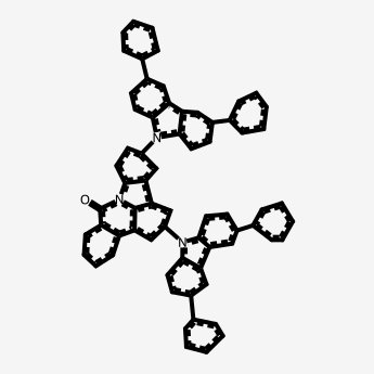 O=c1c2ccccc2c2cc(-n3c4ccc(-c5ccccc5)cc4c4cc(-c5ccccc5)ccc43)cc3c4cc(-n5c6ccc(-c7ccccc7)cc6c6cc(-c7ccccc7)ccc65)ccc4n1c23